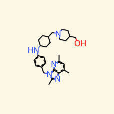 Cc1cc(C)c2nc(C)n(Cc3ccc(NC4CCC(CN5CCC(CO)CC5)CC4)cc3)c2n1